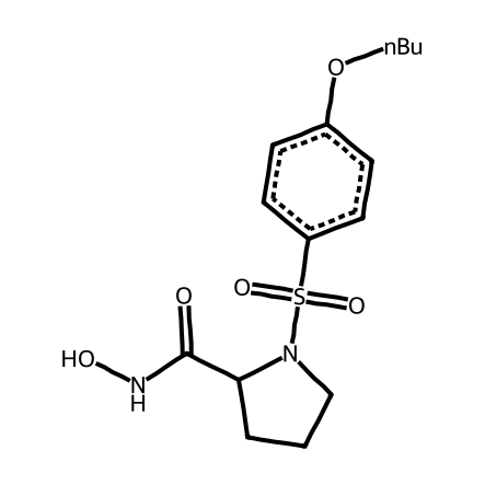 CCCCOc1ccc(S(=O)(=O)N2CCCC2C(=O)NO)cc1